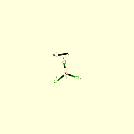 CC(C)=O.Cl[SiH](Cl)Cl